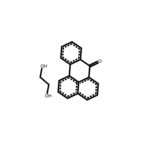 O=C1c2ccccc2-c2cccc3cccc1c23.OCCO